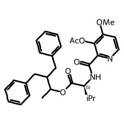 COc1ccnc(C(=O)N[C@H](C(=O)OC(C)C(Cc2ccccc2)Cc2ccccc2)C(C)C)c1OC(C)=O